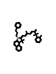 C=C(/C=C/C(C)=C/C=C1/N(CCCc2ccccc2)c2ccc3ccccc3c2C1(C)C)C(C)(C)c1ccccc1C